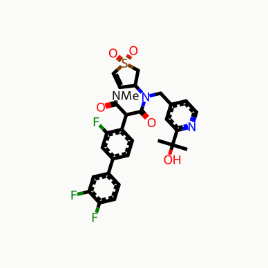 CNC(=O)C(C(=O)N(Cc1ccnc(C(C)(C)O)c1)C1C=CS(=O)(=O)C1)c1ccc(-c2ccc(F)c(F)c2)cc1F